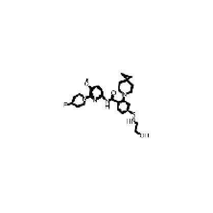 COc1ccc(NC(=O)c2ccc(SNCCO)cc2N2CCC3(CC2)CC3)nc1N1CCC(F)CC1